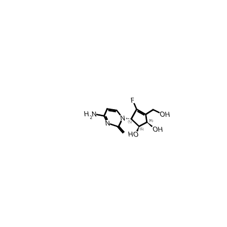 C=C1N=C(N)C=CN1[C@@H]1C(F)=C(CO)[C@@H](O)[C@H]1O